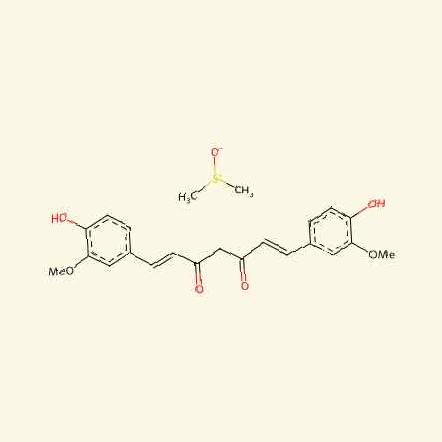 COc1cc(/C=C/C(=O)CC(=O)/C=C/c2ccc(O)c(OC)c2)ccc1O.C[S+](C)[O-]